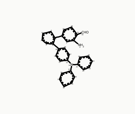 Nc1cc(-c2ccccc2-c2ccc(N(c3ccccc3)c3ccccc3)cc2)ccc1C=O